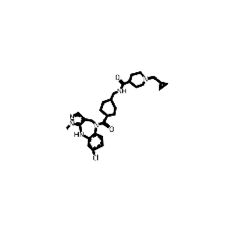 Cn1ncc2c1Nc1cc(Cl)ccc1N(C(=O)C1CCC(CNC(=O)C3CCN(CC4CC4)CC3)CC1)C2